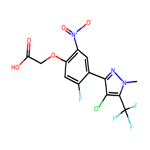 Cn1nc(-c2cc([N+](=O)[O-])c(OCC(=O)O)cc2F)c(Cl)c1C(F)(F)F